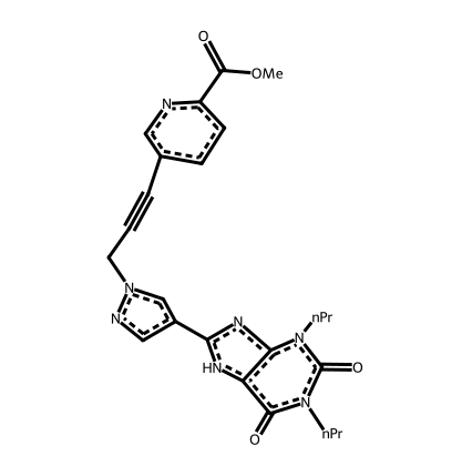 CCCn1c(=O)c2[nH]c(-c3cnn(CC#Cc4ccc(C(=O)OC)nc4)c3)nc2n(CCC)c1=O